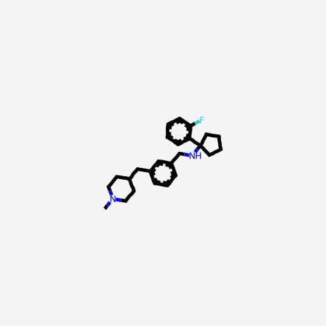 CN1CCC(Cc2cccc(CNC3(c4ccccc4F)CCCC3)c2)CC1